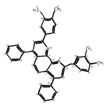 Cc1ccc(-c2cc(-c3ccccc3)c3ccc4c(-c5ccccc5)cc(-c5ccc(C)c(C)c5)nc4c3n2)cc1C